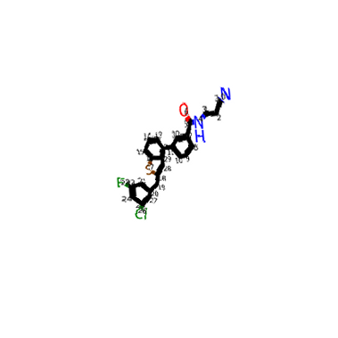 N#CCCNC(=O)c1cccc(-c2cccc3sc(Cc4cc(F)cc(Cl)c4)cc23)c1